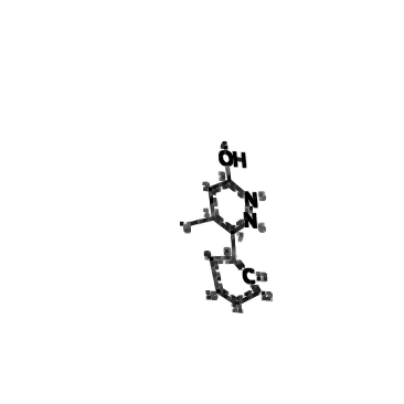 [CH2]c1cc(O)nnc1-c1ccccc1